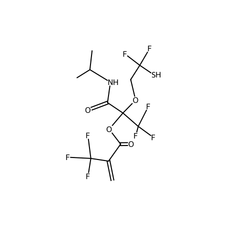 C=C(C(=O)OC(OCC(F)(F)S)(C(=O)NC(C)C)C(F)(F)F)C(F)(F)F